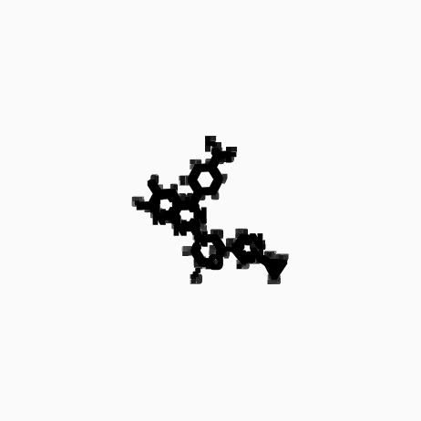 Cc1cc2c(C3CCC(C(F)F)CC3)nc(N3C[C@@H](C)O[C@@H](c4cnn(C5CC5)c4)C3)nc2nc1C